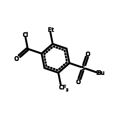 CCc1cc(S(=O)(=O)C(C)CC)c(C(F)(F)F)cc1C(=O)Cl